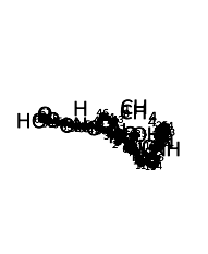 C.C.Cc1c(-c2ccc(N3CCc4cccc(C(=O)Nc5nc6ccccc6s5)c4C3)nc2C(=O)O)cnn1C[C]1CC(C)CC(C)CC(OCCNCCOCCOCC(=O)O)C1